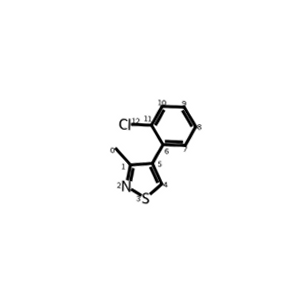 Cc1nscc1-c1ccccc1Cl